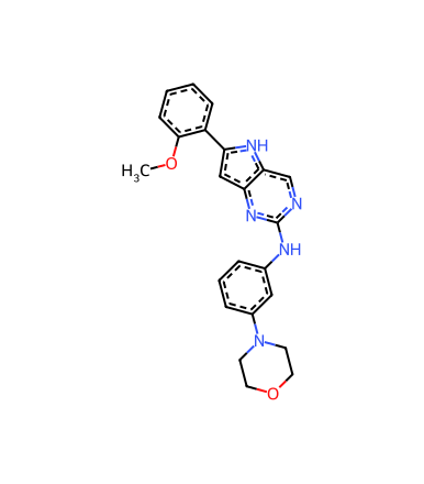 COc1ccccc1-c1cc2nc(Nc3cccc(N4CCOCC4)c3)ncc2[nH]1